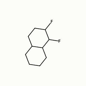 FC1CCC2CCCCC2C1F